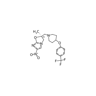 C[C@]1(CN2CCC(Oc3ccc(C(F)(F)F)cc3)CC2)Cn2cc([N+](=O)[O-])nc2O1